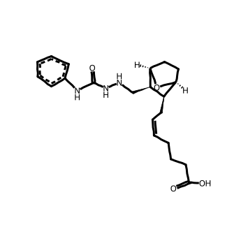 O=C(O)CCC/C=C\C[C@H]1[C@@H](CNNC(=O)Nc2ccccc2)[C@H]2CC[C@@H]1O2